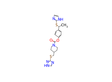 CC(Sc1ncc[nH]1)c1ccc(OC(=O)N2CCC(CSc3nc[nH]n3)CC2)cc1